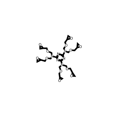 C(OCN(COCC1CO1)c1nc(N(COCC2CO2)COCC2CO2)nc(N(COCC2CO2)COCC2CO2)n1)C1CO1